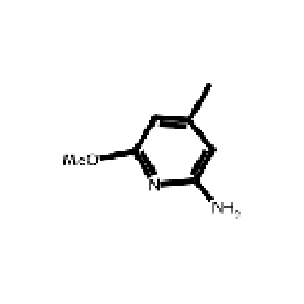 COc1cc(C)cc(N)n1